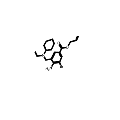 C=CCOC(=O)c1cc(Br)c(N)c(CN(CC)C2CCCCC2)c1